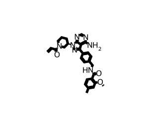 C=CC(=O)N1CCC[C@@H](n2nc(-c3ccc(CNC(=O)c4ccc(C)cc4OC)cc3)c3c(N)ncnc32)C1